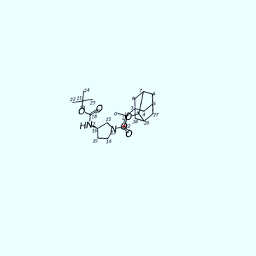 CC(=O)C12CC3CC(C1)C(OC(=O)N1CC[C@@H](NC(=O)OC(C)(C)C)C1)C(C3)C2